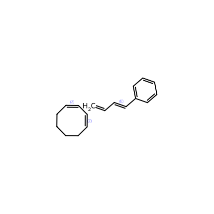 C1=C\CCCC\C=C/1.C=C/C=C/c1ccccc1